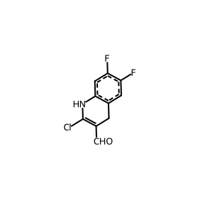 O=CC1=C(Cl)Nc2cc(F)c(F)cc2C1